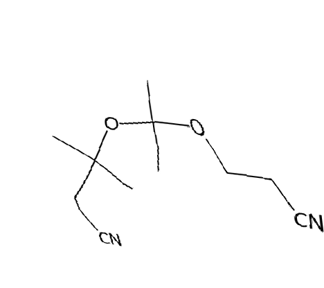 CC(C)(CC#N)OC(C)(C)OCCC#N